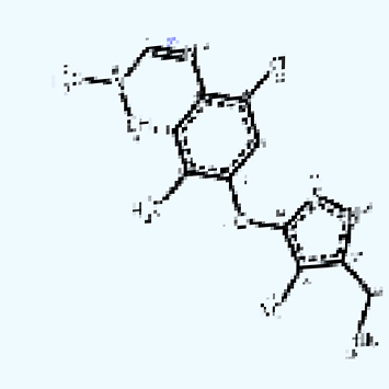 Cc1cc(/N=C\N(C)C)c(Cl)cc1Oc1snc(CC(C)(C)C)c1C#N